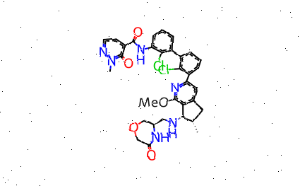 COc1nc(-c2cccc(-c3cccc(NC(=O)c4ccnn(C)c4=O)c3Cl)c2Cl)cc2c1[C@@H](NC[C@@H]1COCC(=O)N1)[C@@H](C)C2